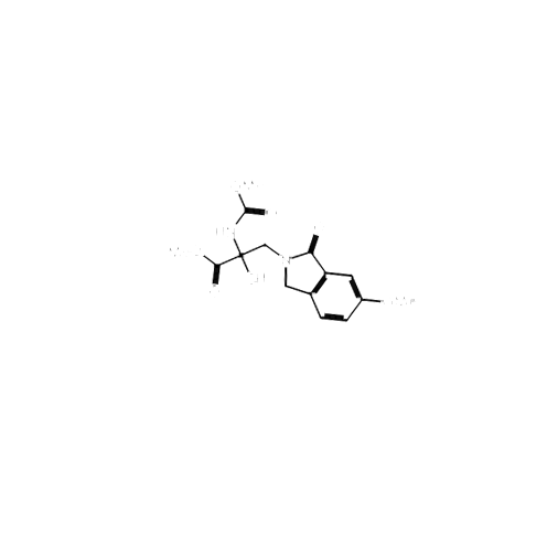 COC(=O)NC(S)(CN1Cc2ccc(OC)cc2C1=O)C(=O)OC